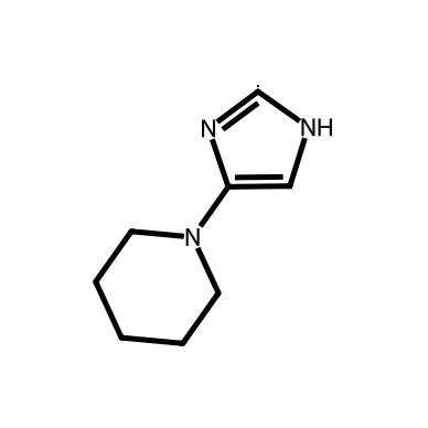 [c]1nc(N2CCCCC2)c[nH]1